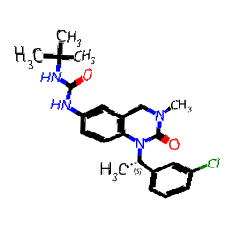 C[C@@H](c1cccc(Cl)c1)N1C(=O)N(C)Cc2cc(NC(=O)NC(C)(C)C)ccc21